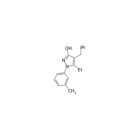 CCc1c(CC(C)C)c(O)nn1-c1cccc(C)c1